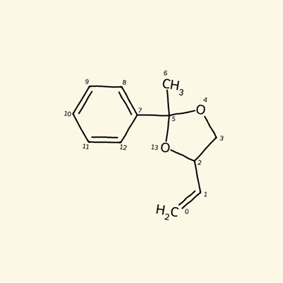 C=CC1COC(C)(c2ccccc2)O1